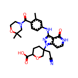 Cc1cc(Nc2nn(C3(CC#N)CCC(C(=O)O)OC3)c3cc[nH]c(=O)c23)ccc1C(=O)N1CCOC(C)(C)C1